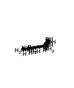 N=C(N)NCCCC(N)C(=O)NCCCNCCCNCCCCCNC(=O)C(CC(N)=O)NC(=O)Cc1ccc(O)cc1O